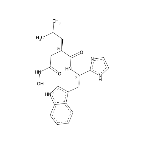 CC(C)C[C@H](CC(=O)NO)C(=O)N[C@@H](Cc1c[nH]c2ccccc12)c1ncc[nH]1